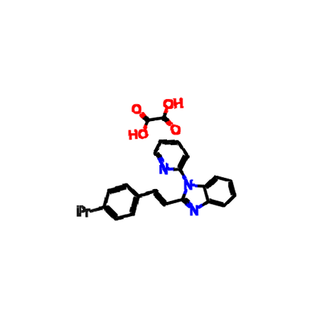 CC(C)c1ccc(C=Cc2nc3ccccc3n2-c2ccccn2)cc1.O=C(O)C(=O)O